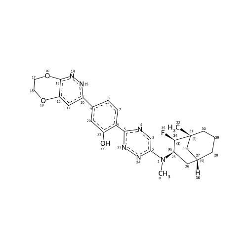 CN(c1cnc(-c2ccc(-c3cc4c(nn3)OCCO4)cc2O)nn1)[C@@H]1C[C@H]2CCC[C@](C)(C2)[C@@H]1F